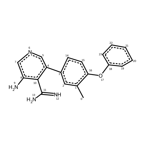 Cc1cc(-c2cncc(N)c2C(=N)N)ccc1Oc1ccccc1